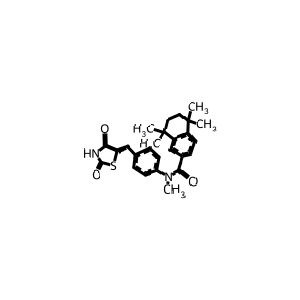 CN(C(=O)c1ccc2c(c1)C(C)(C)CCC2(C)C)c1ccc(/C=C2\SC(=O)NC2=O)cc1